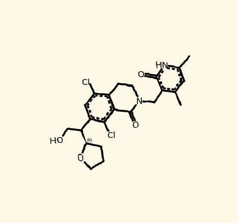 Cc1cc(C)c(CN2CCc3c(Cl)cc(C(CO)[C@H]4CCCO4)c(Cl)c3C2=O)c(=O)[nH]1